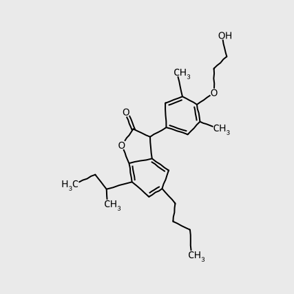 CCCCc1cc(C(C)CC)c2c(c1)C(c1cc(C)c(OCCO)c(C)c1)C(=O)O2